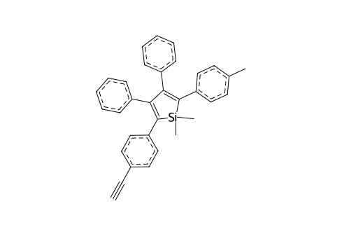 C#Cc1ccc(C2=C(c3ccccc3)C(c3ccccc3)=C(c3ccc(C)cc3)[Si]2(C)C)cc1